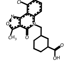 Cc1onc2c1c(=O)n(CC1CCCC(C(=O)O)C1)c1cccc(Cl)c21